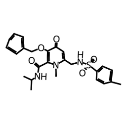 Cc1ccc(S(=O)(=O)NCc2cc(=O)c(OCc3ccccc3)c(C(=O)NC(C)C)n2C)cc1